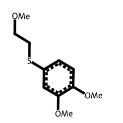 COCCSc1ccc(OC)c(OC)c1